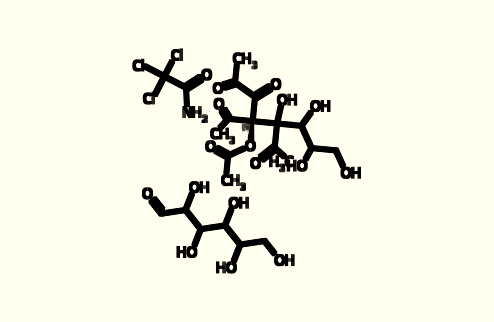 CC(=O)O[C@@](C(C)=O)(C(=O)C(C)=O)C(O)(C(C)=O)C(O)C(O)CO.NC(=O)C(Cl)(Cl)Cl.O=CC(O)C(O)C(O)C(O)CO